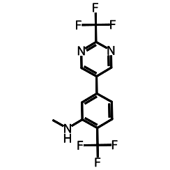 CNc1cc(-c2cnc(C(F)(F)F)nc2)ccc1C(F)(F)F